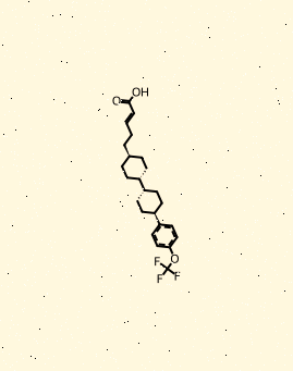 O=C(O)/C=C/CC[C@H]1CC[C@H]([C@H]2CC[C@H](c3ccc(OC(F)(F)F)cc3)CC2)CC1